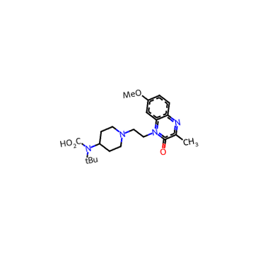 COc1ccc2nc(C)c(=O)n(CCN3CCC(N(C(=O)O)C(C)(C)C)CC3)c2c1